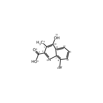 Cc1c(C(=O)O)nc2c(Br)cccc2c1O